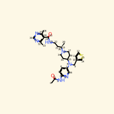 CC(=O)Nc1ccc(N(Cc2ccsc2)C2CCN([C@H](C)CCNC(=O)c3c(C)ncnc3C)CC2)cn1